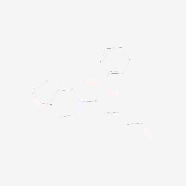 O=CCCCC(N1CCc2occc2C1)S(=O)(=O)c1ccccc1